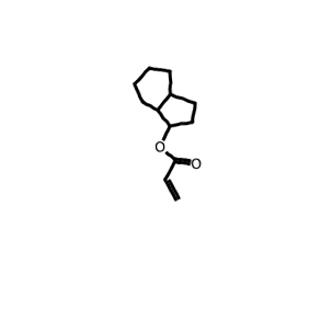 C=CC(=O)OC1CCC2CCCCC21